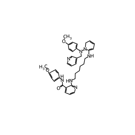 COc1ccc(NC(=O)c2cccnc2NCCCCCCNC2=CC=CCN2N(Cc2cccnc2)c2ccc(OC)cc2)cc1